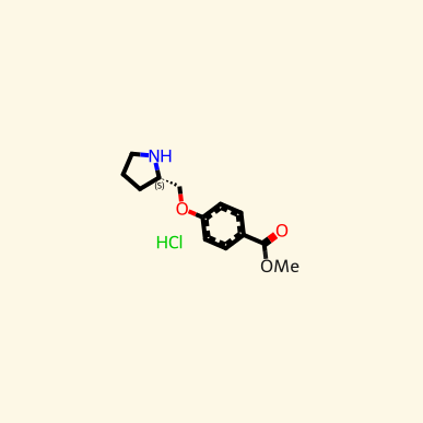 COC(=O)c1ccc(OC[C@@H]2CCCN2)cc1.Cl